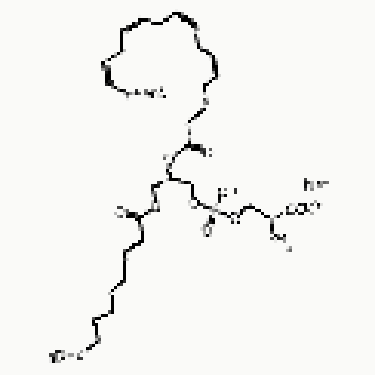 CCCCC/C=C\C/C=C\C/C=C\C/C=C\CCCC(=O)O[C@H](COC(=O)CCCCCCCCCCCCCCCCC)COP(=O)(O)OC[C@H](N)C(=O)[O-].[Na+]